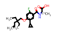 C=CCC(CC)(CC)COc1cc(F)c(C(=O)N[C@@H](C)C(=O)O)cc1C1CC1